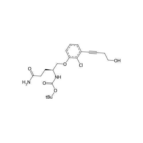 CC(C)(C)OC(=O)N[C@@H](CCC(N)=O)COc1cccc(C#CCCO)c1Cl